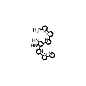 N=C1C=C(c2cccc(-c3cccc(-c4cccc(P)n4)n3)n2)C=C(c2cccc(-c3cccc(-c4ccccn4)n3)n2)C1=N